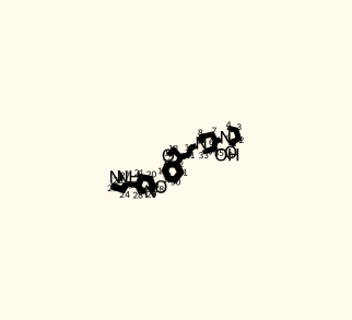 O=C1CCCN1C1CCN(CCC2COc3cc(Oc4ccc(-c5ccn[nH]5)cn4)ccc32)C[C@H]1O